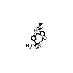 Cc1ncnc2c1C1CCC(CC1)OCC1C(NS(=O)(=O)C3CC3)CCCN1C(=O)CO2